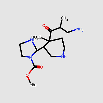 CC(CN)C(=O)C1(C(=O)O)CCNCC1C1NCCN1C(=O)OC(C)(C)C